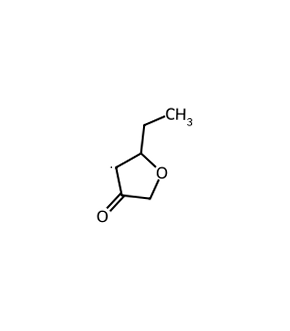 CCC1[CH]C(=O)CO1